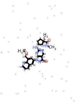 CNC(=O)[C@]1(C)CC[C@@H](Nc2ncc3c(Br)nn(-c4cc(COC)c5ncccc5c4)c3n2)C1